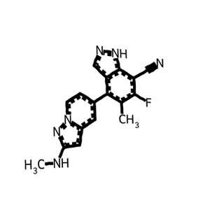 CNc1cc2cc(-c3c(C)c(F)c(C#N)c4[nH]ncc34)ccn2n1